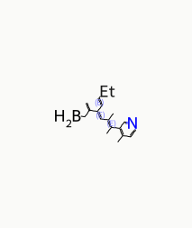 BCC(=C)C(/C=C/CC)=C/C(C)=C(\C)c1cnccc1C